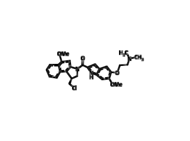 COc1cc2[nH]c(C(=O)N3C[C@@H](CCl)c4c3cc(OC)c3ccccc43)cc2cc1OCCN(C)C